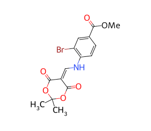 COC(=O)c1ccc(NC=C2C(=O)OC(C)(C)OC2=O)c(Br)c1